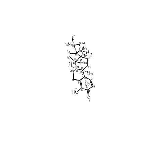 C[C@]12C=CC(=O)C(O)=C1CC[C@@H]1[C@H]2CC[C@@]2(C)[C@H]1CCC2(O)C(F)(F)F